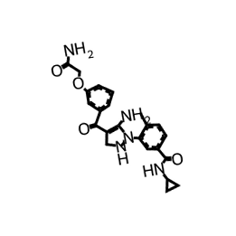 Cc1ccc(C(=O)NC2CC2)cc1N1NCC(C(=O)c2cccc(OCC(N)=O)c2)=C1N